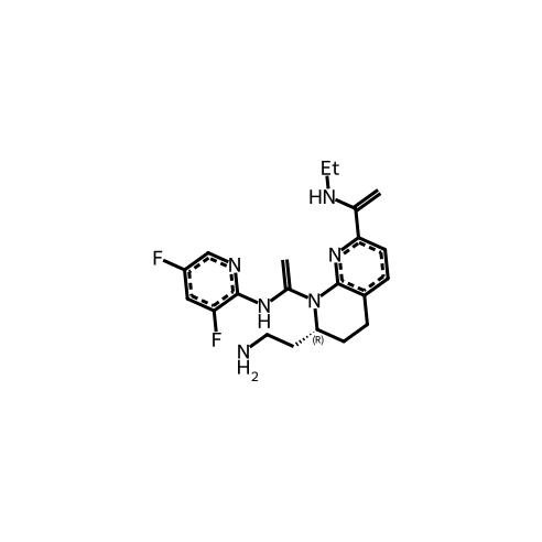 C=C(NCC)c1ccc2c(n1)N(C(=C)Nc1ncc(F)cc1F)[C@@H](CCN)CC2